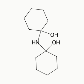 OC1(NC2(O)CCCCC2)CCCCC1